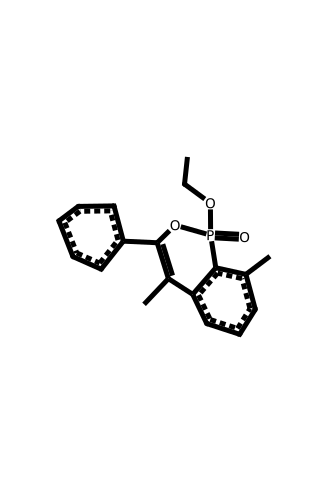 CCOP1(=O)OC(c2ccccc2)=C(C)c2cccc(C)c21